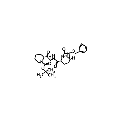 CC(C)(C)OC(=O)N1CCCC[C@@H]1C(=O)NNC(=O)[C@@H]1CC[C@@H]2CN1C(=O)N2OCc1ccccc1